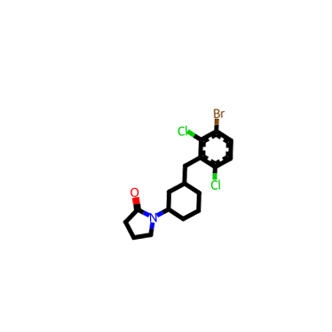 O=C1CCCN1C1CCCC(Cc2c(Cl)ccc(Br)c2Cl)C1